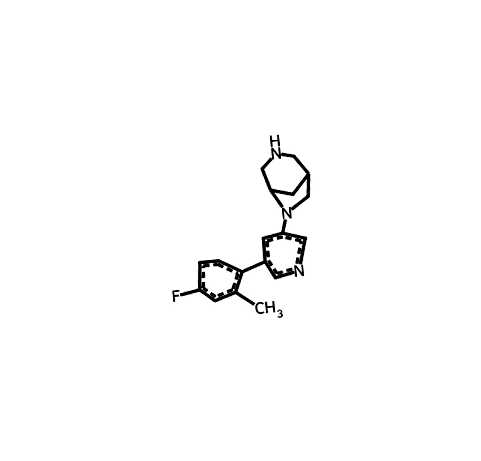 Cc1cc(F)ccc1-c1cncc(N2CC3CNCC2C3)c1